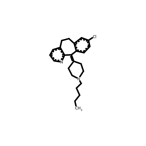 CCCCCN1CCC(=C2c3ccc(Cl)cc3CCc3cccnc32)CC1